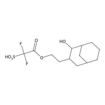 O=C(OCCC1CC2CCCC(C2)C1O)C(F)(F)S(=O)(=O)O